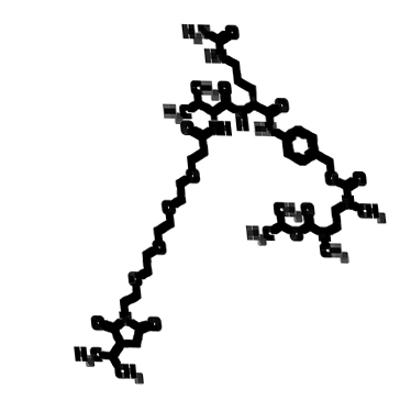 CC(C)OC(=O)N(C)CCN(C)C(=O)OCc1ccc(NC(=O)[C@H](CCCNC(N)=O)NC(=O)[C@H](NC(=O)CCOCCOCCOCCOCCN2C(=O)CC(C(C)C)C2=O)C(C)C)cc1